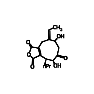 C/C=C1/CC2=C(C(=O)OC2=O)[C@H](CCC)[C@H](O)C(=O)C[C@@H]1O